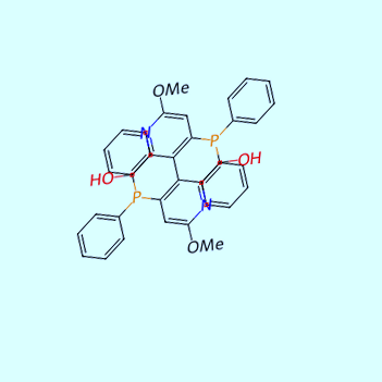 COc1cc(P(c2ccccc2)c2ccccc2)c(-c2c(P(c3ccccc3)c3ccccc3)cc(OC)nc2CO)c(CO)n1